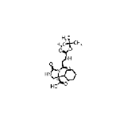 CC(C)(C)OC(=O)NCC(=O)N1C(=O)NC[C@]1(C(=O)O)C1CCCCC1